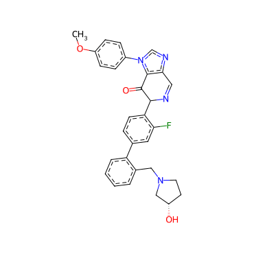 COc1ccc(-n2cnc3c2C(=O)C(c2ccc(-c4ccccc4CN4CC[C@H](O)C4)cc2F)N=C3)cc1